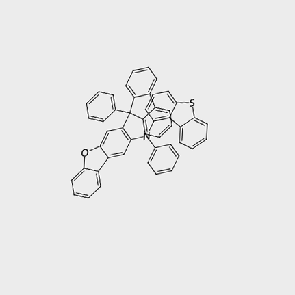 c1ccc(N(c2cc3c(cc2C2(c4ccccc4)c4ccccc4-c4ccccc42)oc2ccccc23)c2cccc3sc4ccccc4c23)cc1